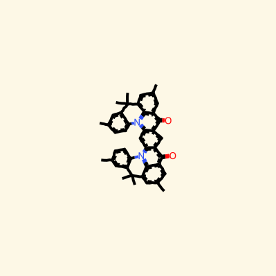 Cc1ccc2c(c1)C(C)(C)c1cc(C)cc3c(=O)c4cc5c(=O)c6cc(C)cc7c6n(c5cc4n-2c13)-c1ccc(C)cc1C7(C)C